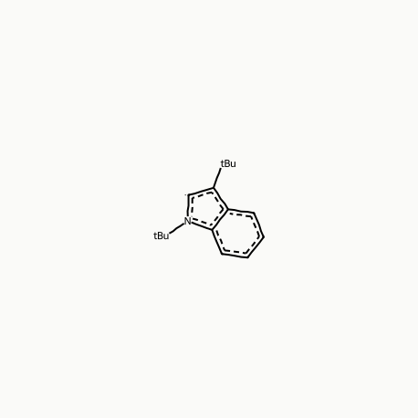 CC(C)(C)c1[c]n(C(C)(C)C)c2ccccc12